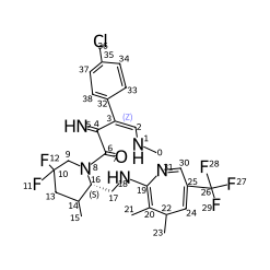 CN/C=C(\C(=N)C(=O)N1CC(F)(F)CC(C)[C@H]1CNC1=C(C)C(C)C=C(C(F)(F)F)C=N1)c1ccc(Cl)cc1